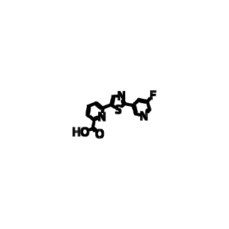 O=C(O)c1cccc(-c2cnc(-c3cncc(F)c3)s2)n1